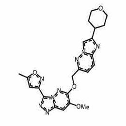 COc1cc2nnc(-c3cc(C)on3)n2nc1OCc1ccc2nc(C3CCOCC3)cn2n1